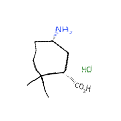 CC1(C)CC[C@H](N)C[C@@H]1C(=O)O.Cl